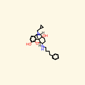 Oc1ccc2c3c1O[C@H]1[C@H](NCCCCc4ccccc4)CC[C@@]4(O)[C@@H](C2)N(CC2CC2)CC[C@]314